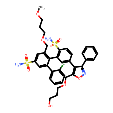 NS(=O)(=O)c1cc(COCCCO[N+](=O)[O-])c(-c2cc(-c3c(-c4ccccc4)noc3COCCCO)ccc2S(N)(=O)=O)c(-c2ccccc2Cl)c1